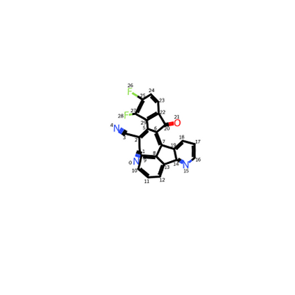 N#CC(C#N)=C1/C(=C2\c3ccccc3-c3ncccc32)C(=O)c2ccc(F)c(F)c21